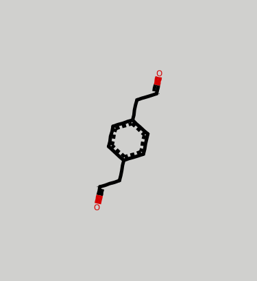 O=[C]Cc1ccc(C[C]=O)cc1